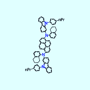 CCCc1ccc(-n2c3ccccc3c3ccc(N(c4cccc5c4CCCC5)c4ccc5ccc6c(N(c7ccc8c9ccccc9n(-c9ccc(CCC)cc9)c8c7)c7cccc8c7CCCC8)ccc7ccc4c5c76)cc32)cc1